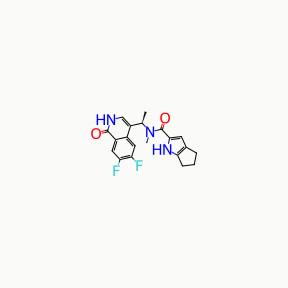 C[C@H](c1c[nH]c(=O)c2cc(F)c(F)cc12)N(C)C(=O)c1cc2c([nH]1)CCC2